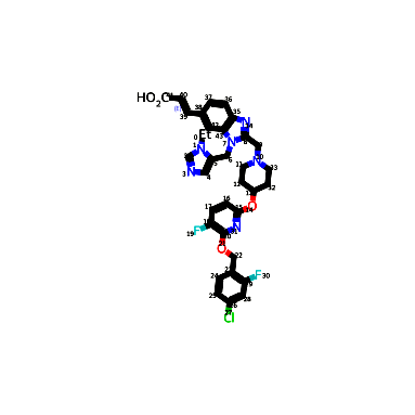 CCn1cncc1Cn1c(CN2CCC(Oc3ccc(F)c(OCc4ccc(Cl)cc4F)n3)CC2)nc2ccc(/C=C/C(=O)O)cc21